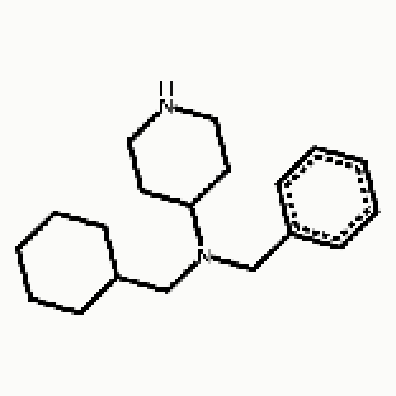 c1ccc(CN(CC2CCCCC2)C2CCNCC2)cc1